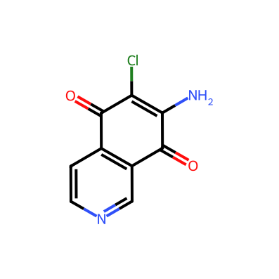 NC1=C(Cl)C(=O)c2ccncc2C1=O